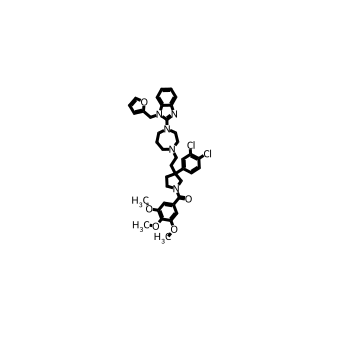 COc1cc(C(=O)N2CCC(CCN3CCCN(c4nc5ccccc5n4Cc4ccco4)CC3)(c3ccc(Cl)c(Cl)c3)C2)cc(OC)c1OC